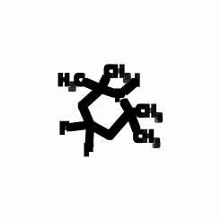 CC1(C)CC(F)(F)CC(C)(C)P1I